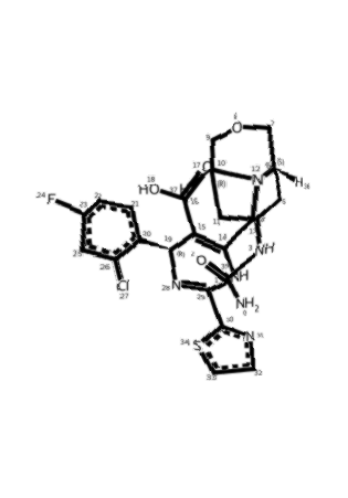 NC(=O)NC1C[C@H]2COC[C@@H](C1)N2CC1=C(C(=O)O)[C@H](c2ccc(F)cc2Cl)N=C(c2nccs2)N1